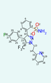 NS(=O)(=O)c1ccccc1-c1nn(CCc2ccccn2)c(C(F)(F)F)c1-c1ccc(F)cc1